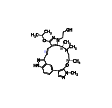 CC(C)Oc1nn(CCO)c2c1/C=C/c1n[nH]c3ccc(cc13)-c1cnn(C)c1O[C@@H](C)CN(C)[C@H]2C